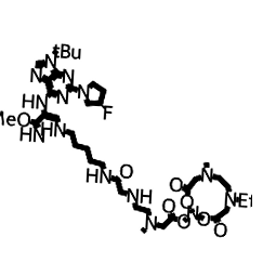 CCN1CCN(C)CC(=O)ON(OC(=O)CN(C)CCNCC(=O)NCCCCCN/C=C(/Nc2nc(N3CC[C@H](F)C3)nc3c2ncn3C(C)(C)C)C(=N)OC)OC(=O)C1